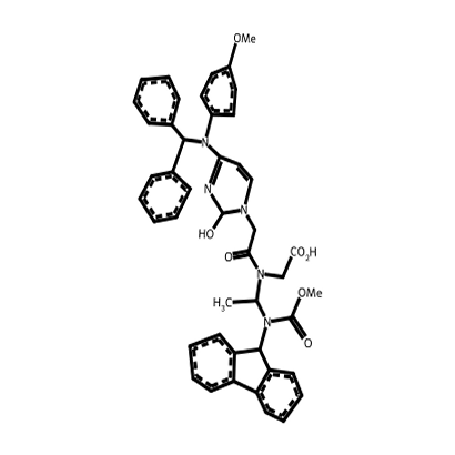 COC(=O)N(C1c2ccccc2-c2ccccc21)C(C)N(CC(=O)O)C(=O)CN1C=CC(N(c2ccc(OC)cc2)C(c2ccccc2)c2ccccc2)=NC1O